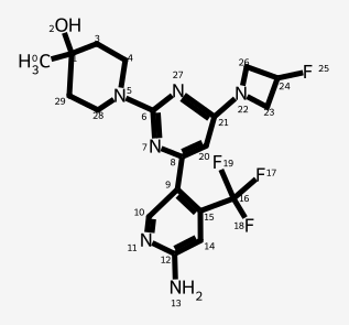 CC1(O)CCN(c2nc(-c3cnc(N)cc3C(F)(F)F)cc(N3CC(F)C3)n2)CC1